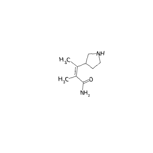 CC(C(N)=O)=C(C)C1CCNC1